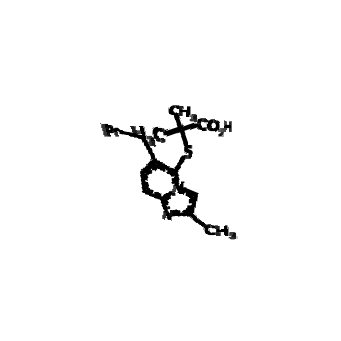 Cc1cn2c(SC(C)(C)C(=O)O)c(CC(C)C)ccc2n1